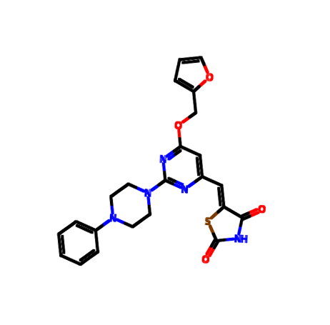 O=C1NC(=O)C(=Cc2cc(OCc3ccco3)nc(N3CCN(c4ccccc4)CC3)n2)S1